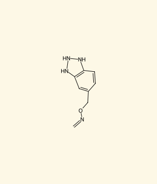 C=NOCc1ccc2c(c1)NNN2